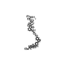 CC(C)[C@H](N)C(=O)OCN1C(=O)CCC(N2C(=O)c3cccc(NCCOCCOc4ccc5c(c4)ncn5-c4ccc(NC(=O)Nc5cc(C(C)(C)C)n[nH]5)cc4)c3C2=O)C1=O